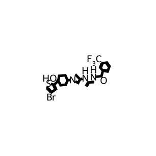 C=C(CNC(=O)c1cccc(C(F)(F)F)c1)NC1CN(C2CCC(O)(c3cc(Br)cs3)CC2)C1